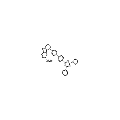 COc1ccc2oc3cccc(-c4ccc(-c5ccc(-c6nc(-c7ccccc7)nc(-c7ccccc7)n6)cc5)cc4)c3c2c1